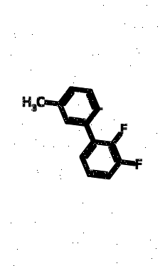 Cc1cc[c]c(-c2cccc(F)c2F)c1